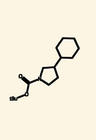 CC(C)(C)OC(=O)N1CCC(C2CCCCC2)C1